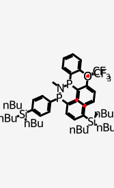 CCCC[Si](CCCC)(CCCC)c1ccc(P(c2ccc([Si](CCCC)(CCCC)CCCC)cc2)N(C)P(c2ccccc2OC(F)(F)F)c2ccccc2OC(F)(F)F)cc1